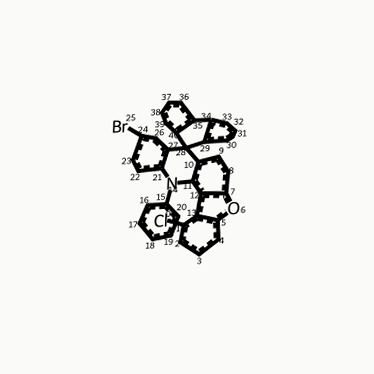 Clc1cccc2oc3ccc4c(c3c12)N(c1ccccc1)c1ccc(Br)cc1C41c2ccccc2-c2ccccc21